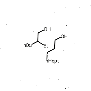 CCCCC(CC)CO.CCCCCCCCCCO